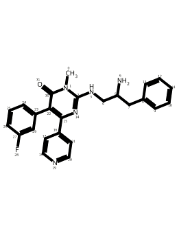 Cn1c(NCC(N)Cc2ccccc2)nc(-c2ccncc2)c(-c2cccc(F)c2)c1=O